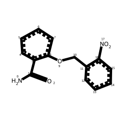 NC(=O)c1ccccc1OCc1ccccc1[N+](=O)[O-]